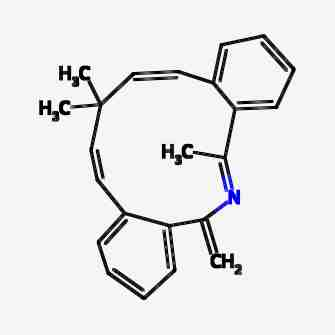 C=C1/N=C(\C)c2ccccc2/C=C\C(C)(C)/C=C\c2ccccc21